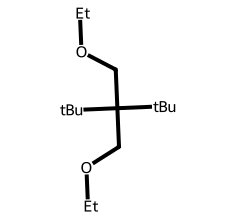 CCOCC(COCC)(C(C)(C)C)C(C)(C)C